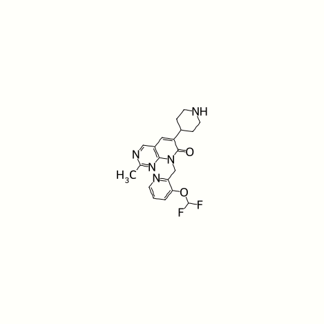 Cc1ncc2cc(C3CCNCC3)c(=O)n(Cc3ncccc3OC(F)F)c2n1